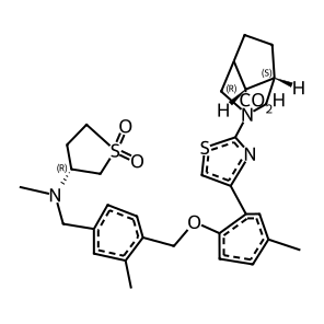 Cc1ccc(OCc2ccc(CN(C)[C@@H]3CCS(=O)(=O)C3)cc2C)c(-c2csc(N3CC4CC[C@H](C3)[C@@H]4C(=O)O)n2)c1